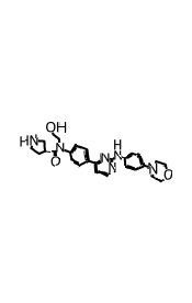 O=C([C@H]1CCNC1)N(CCO)c1ccc(-c2ccnc(Nc3ccc(N4CCOCC4)cc3)n2)cc1